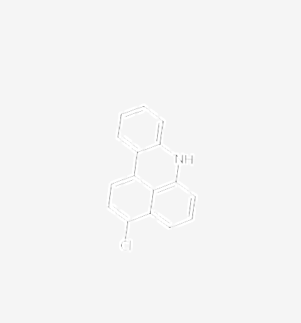 Clc1ccc2c3c(cccc13)Nc1ccccc1-2